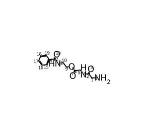 NCC(=O)NCC(=O)OCCNC(=O)c1ccccc1